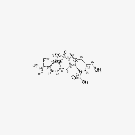 CC(C)(C)c1nn2c(c1Cc1ccc(C(F)(F)F)cc1)N(C(=O)O)CC(CO)C2